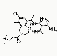 CC(=N)c1c(N)ncnc1NC(C)c1cc(Cl)c(C)c2c1OCCN(C(=O)CCC(C)(C)C)C2